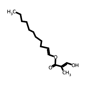 CCCCCCCCCC=COC(=O)C(C)=CO